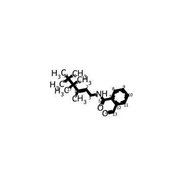 C/C(=C\CNC(=O)c1ccccc1C=O)C(C)(C)C(C)(C)C